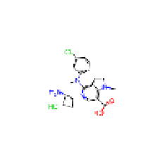 CN(c1cccc(Cl)c1)c1ncc(C(=O)O)c2c1ccn2C.Cl.NC1CCC1